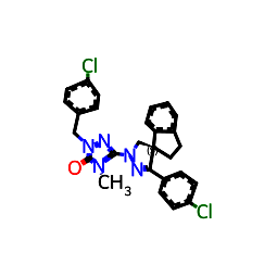 Cn1c(N2C[C@@]3(CCc4ccccc43)C(c3ccc(Cl)cc3)=N2)nn(Cc2ccc(Cl)cc2)c1=O